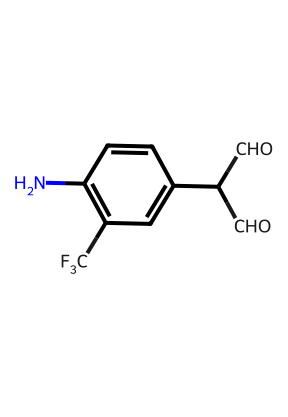 Nc1ccc(C(C=O)C=O)cc1C(F)(F)F